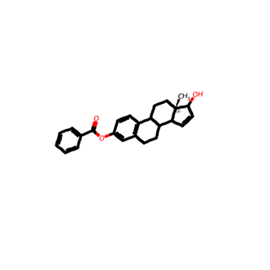 C[C@]12CCC3c4ccc(OC(=O)c5ccccc5)cc4CCC3C1C=CC2O